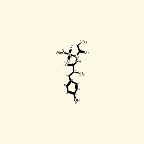 CC[C@H](C)CC(=O)N(NC(=O)[C@@H](N)Cc1ccc(O)cc1)S(=O)(=O)OC